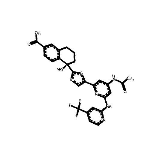 CC(=O)Nc1cc(Nc2cc(C(F)(F)F)ccn2)nc(-c2cnc([C@@]3(O)CCCc4cc(C(=O)O)ccc43)s2)c1